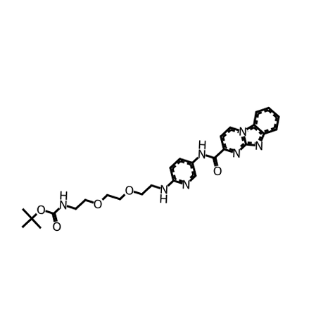 CC(C)(C)OC(=O)NCCOCCOCCNc1ccc(NC(=O)c2ccn3c(n2)nc2ccccc23)cn1